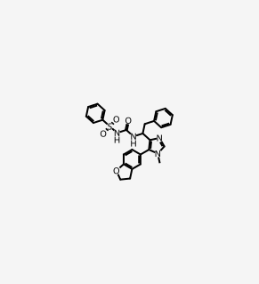 Cn1cnc(C(Cc2ccccc2)NC(=O)NS(=O)(=O)c2ccccc2)c1-c1ccc2c(c1)CCO2